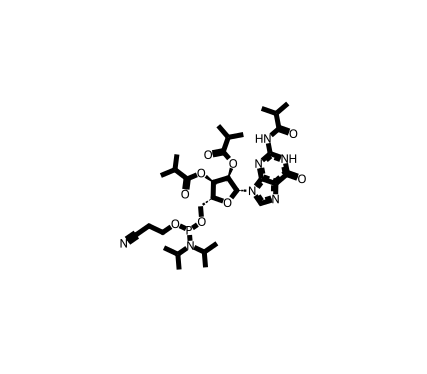 CC(C)C(=O)Nc1nc2c(ncn2[C@@H]2O[C@H](COP(OCCC#N)N(C(C)C)C(C)C)[C@@H](OC(=O)C(C)C)[C@H]2OC(=O)C(C)C)c(=O)[nH]1